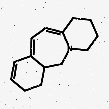 C1=CC2=CC=C3CCCCN3CC2CC1